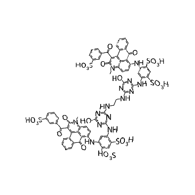 Cn1c(=O)c(C(=O)c2cccc(S(=O)(=O)O)c2)c2c3c(c(Nc4cc(Nc5nc(O)nc(NCCNc6nc(O)nc(Nc7cc(Nc8ccc9c%10c8C(=O)c8ccccc8-c%10c(C(=O)c8cccc(S(=O)(=O)O)c8)c(=O)n9C)c(S(=O)(=O)O)cc7S(=O)(=O)O)n6)n5)c(S(=O)(=O)O)cc4S(=O)(=O)O)ccc31)C(=O)c1ccccc1-2